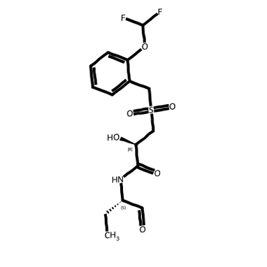 CC[C@@H](C=O)NC(=O)[C@@H](O)CS(=O)(=O)Cc1ccccc1OC(F)F